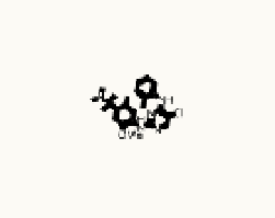 COc1cc(C(C)(C)N(C)C)c(C)cc1Nc1ncc(Cl)c(Nc2ccccc2C)n1